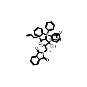 C=CCOC(=O)C(C(O)(C(=O)[C@H](C)N1C(=O)c2ccccc2C1=O)[C@H]1CC(=O)N1)=P(c1ccccc1)(c1ccccc1)c1ccccc1